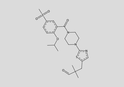 CC(C)Oc1ccc(S(C)(=O)=O)cc1C(=O)N1CCN(c2ncc(CC(C)(C)C=O)s2)CC1